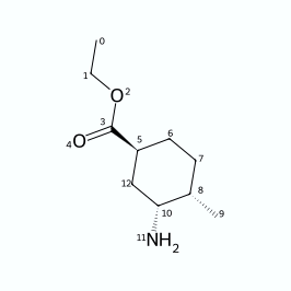 CCOC(=O)[C@H]1CC[C@H](C)[C@H](N)C1